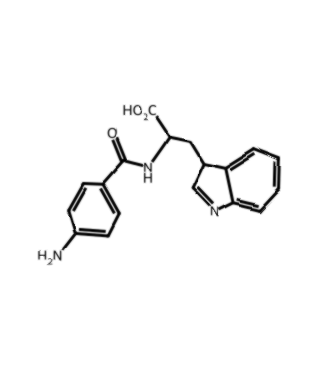 Nc1ccc(C(=O)NC(CC2C=Nc3ccccc32)C(=O)O)cc1